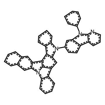 c1ccc(-n2c3cc(-n4c5ccccc5c5c6c7cc8ccccc8cc7n7c8ccccc8c(cc54)c67)ccc3c3cccnc32)cc1